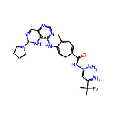 CCC(C)(C)C(=N)/C=C(\N)NC(=O)C1=CC=C(C)C(Nc2ncnc3c2NC(N2CCCC2)N=C3)=CC1